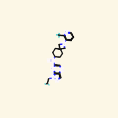 FC(F)Cn1ncc2ncc(NC3CCC4(CC3)CN(c3cccnc3C(F)(F)F)C4)nc21